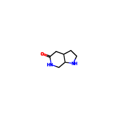 O=C1CC2CCNC2CN1